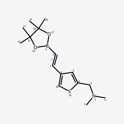 CN(C)Cc1cc(/C=C/B2OC(C)(C)C(C)(C)O2)cs1